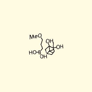 CC1(O)CCC2CC1(O)C2(C)C.COCCCB(O)O